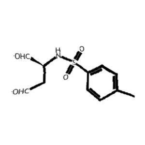 Cc1ccc(S(=O)(=O)N[C@H]([C]=O)C[C]=O)cc1